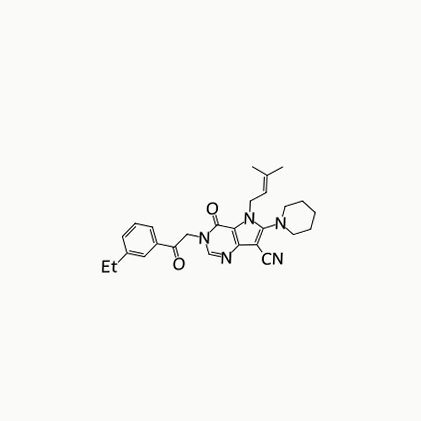 CCc1cccc(C(=O)Cn2cnc3c(C#N)c(N4CCCCC4)n(CC=C(C)C)c3c2=O)c1